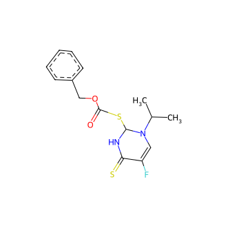 CC(C)N1C=C(F)C(=S)NC1SC(=O)OCc1ccccc1